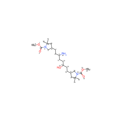 CC(C)(C)OC(=O)N1CC(CCC(N)CCC(O)CCC2CN(C(=O)OC(C)(C)C)C(C)(C)C2)CC1(C)C